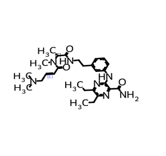 CCc1nc(Nc2cccc(CCNC(=O)[C@H](C)N(C)C(=O)/C=C/CN(C)C)c2)c(C(N)=O)nc1CC